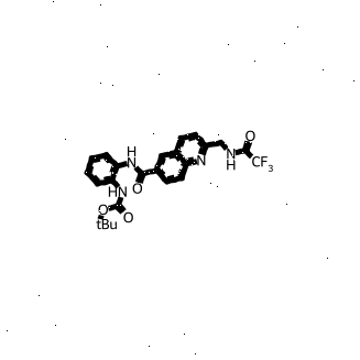 CC(C)(C)OC(=O)Nc1ccccc1NC(=O)c1ccc2nc(CNC(=O)C(F)(F)F)ccc2c1